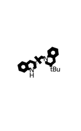 CC(C)(C)C1Cc2ccccc2N(CC(C)(C)[C@@H]2CNc3ccccc3C2)C1